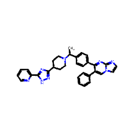 CC(c1ccc(-c2nc3nccn3cc2-c2ccccc2)cc1)N1CCC(c2n[nH]c(-c3ccccn3)n2)CC1